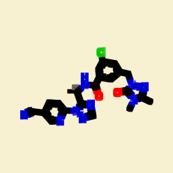 Cc1nn(Cc2cc(Cl)cc(C(=O)N[C@@H](C)c3ncnn3-c3ccc(C#N)cn3)c2)c(=O)n1C